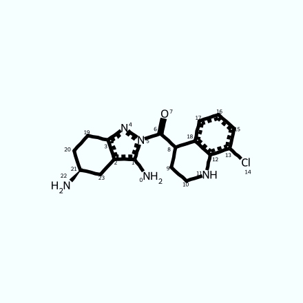 Nc1c2c(nn1C(=O)C1CCNc3c(Cl)cccc31)CC[C@H](N)C2